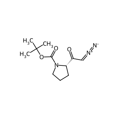 CC(C)(C)OC(=O)N1CCC[C@H]1C(=O)C=[N+]=[N-]